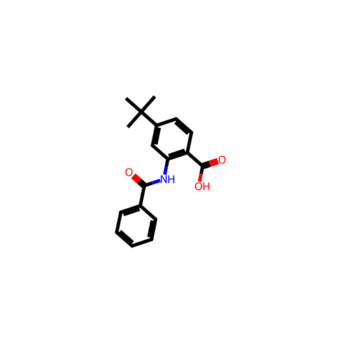 CC(C)(C)c1ccc(C(=O)O)c(NC(=O)c2ccccc2)c1